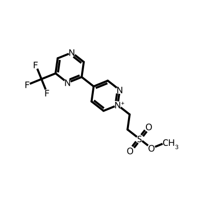 COS(=O)(=O)CC[n+]1ccc(-c2cncc(C(F)(F)F)n2)cn1